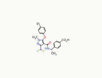 CCc1ccc(Oc2c(C(=O)N[C@@H](C)c3ccc(C(=O)O)cc3)c(C(F)F)nn2C)cc1